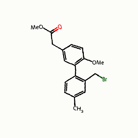 COC(=O)Cc1ccc(OC)c(-c2ccc(C)cc2CBr)c1